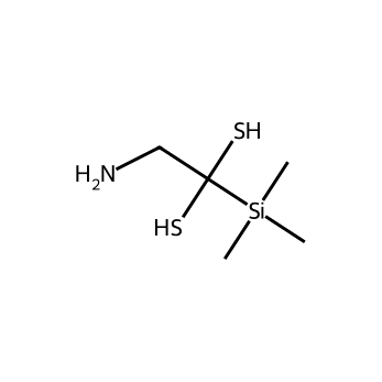 C[Si](C)(C)C(S)(S)CN